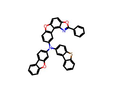 c1ccc(-c2nc3c(ccc4oc5ccc(N(c6ccc7c(c6)oc6ccccc67)c6ccc7sc8ccccc8c7c6)cc5c43)o2)cc1